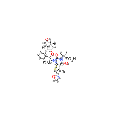 COc1ccccc1[C@H](Cn1c(=O)n(C(C)(C)C(=O)O)c(=O)c2c(C)c(-c3ncco3)sc21)OC1C[C@H]2COC[C@@H]2C1